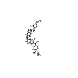 Cc1cc(OC(F)(F)F)ccc1C(=O)Nc1ccc(Oc2ccc3cc(C(=O)N4CCN(C(=O)OC(C)(C)C)CC4)n(C)c3c2)nc1